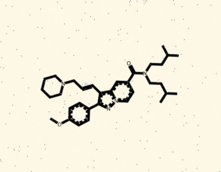 COc1ccc(-c2nn3ccc(C(=O)N(CCC(C)C)CCC(C)C)cc3c2/C=C/CN2CCCCC2)cc1